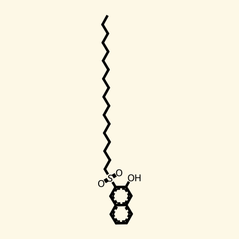 CCCCCCCCCCCCCCCCCCS(=O)(=O)c1cc2ccccc2cc1O